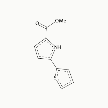 COC(=O)c1ccc(-c2cccs2)[nH]1